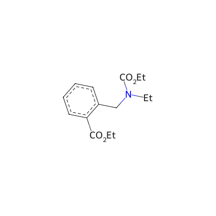 CCOC(=O)c1ccccc1CN(CC)C(=O)OCC